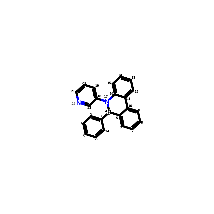 c1ccc(B2c3ccccc3-c3ccccc3N2c2cccnc2)cc1